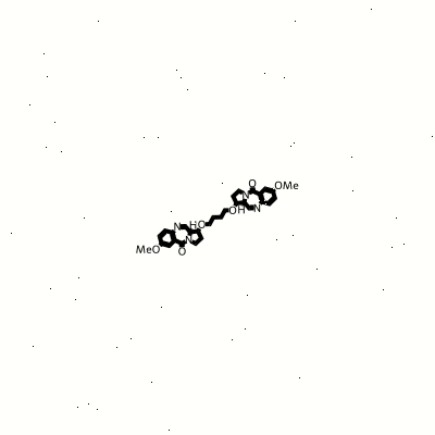 COc1ccc2c(c1)C(=O)N1CCC(OCCCCOC3CCN4C(=O)c5cc(OC)ccc5N=C[C@H]34)[C@H]1C=N2